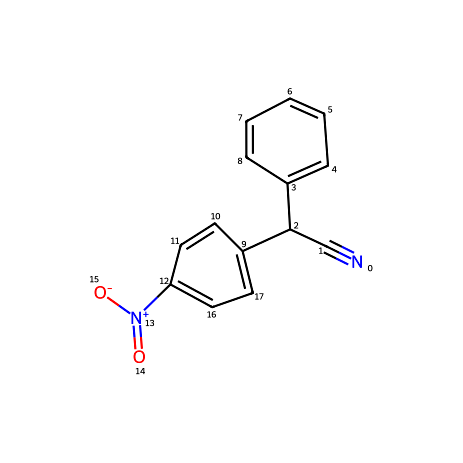 N#CC(c1ccccc1)c1ccc([N+](=O)[O-])cc1